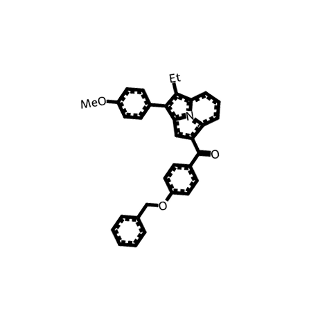 CCc1c(-c2ccc(OC)cc2)c2cc(C(=O)c3ccc(OCc4ccccc4)cc3)c3cccc1n32